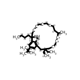 C=CC1(CC)CCCCCC(C)CCCCCCCCCC2(CCCC)NOc3c(cc(C(C)(C)C)cc32)C1